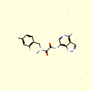 CN(Cc1ccc(C(F)(F)F)cc1F)C(=O)C(=O)Nc1cnc(N)c2cn[nH]c12